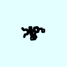 CCCN(CCC)S(=O)(=O)c1ccc(C=O)cc1-c1ccon1